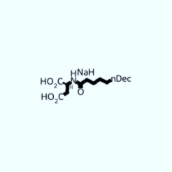 CCCCCCCCCCCCCCC(=O)N[C@@H](CC(=O)O)C(=O)O.[NaH]